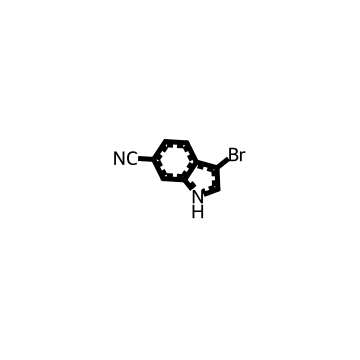 N#Cc1ccc2c(Br)c[nH]c2c1